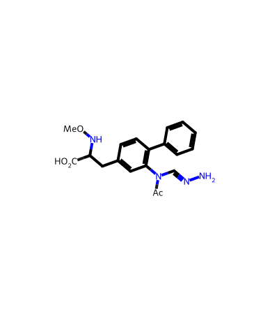 CONC(Cc1ccc(-c2ccccc2)c(N(C=NN)C(C)=O)c1)C(=O)O